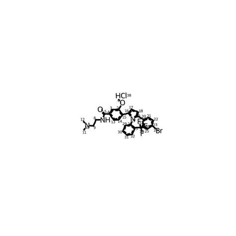 COc1cc(C(=O)NCCN(C)C)ccc1-c1ccc(-c2ccc(Br)cc2)n1-c1ccccc1C(F)(F)F.Cl